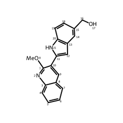 COc1nc2ccccc2cc1-c1cc2cc(CO)ccc2[nH]1